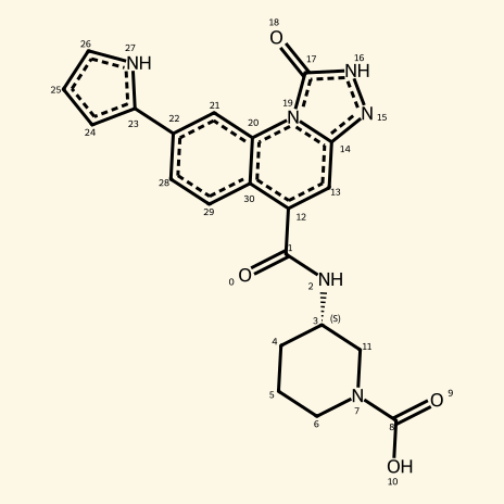 O=C(N[C@H]1CCCN(C(=O)O)C1)c1cc2n[nH]c(=O)n2c2cc(-c3ccc[nH]3)ccc12